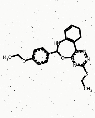 CCOc1ccc(C2NC3=C(CCC=C3)c3nnc(SCC)nc3O2)cc1